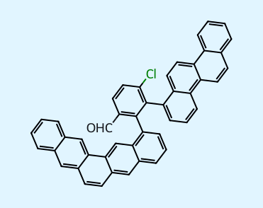 O=Cc1ccc(Cl)c(-c2cccc3c2ccc2c4ccccc4ccc32)c1-c1cccc2cc3ccc4cc5ccccc5cc4c3cc12